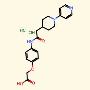 Cl.Cl.O=C(O)COc1ccc(NC(=O)CC2CCN(c3ccncc3)CC2)cc1